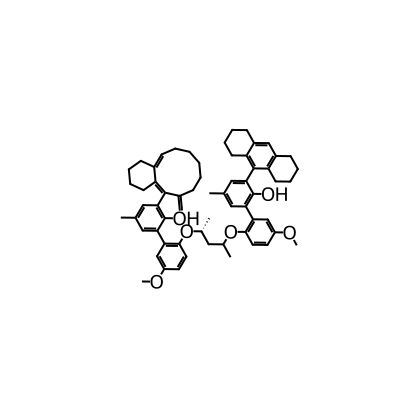 C=C1CCCCC/C=C2/CCCC/C2=C/1c1cc(C)cc(-c2cc(OC)ccc2O[C@H](C)CC(C)Oc2ccc(OC)cc2-c2cc(C)cc(-c3c4c(cc5c3CCCC5)CCCC4)c2O)c1O